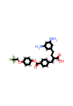 Nc1cc(N)cc(CC/C(=C\c2ccc(C(=O)Oc3ccc(OCC(F)(F)F)cc3)cc2)C(=O)O)c1